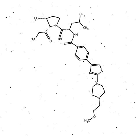 B=C(C(CC(C)C)NC(=O)c1ccc(-c2csc(N3CCN(CCOC)CC3)n2)cc1)N1CC[C@@H](C)[C@H]1C(=O)CC